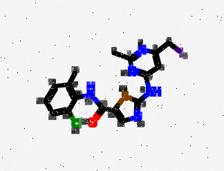 Cc1nc(CI)cc(Nc2ncc(C(=O)Nc3c(C)cccc3Cl)s2)n1